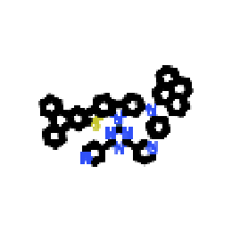 c1ccc(N(c2ccc3c4ccc5c6cc7c8ccccc8c8ccccc8c7cc6sc5c4n(-c4nc(-c5ccncc5)nc(-c5cccnc5)n4)c3c2)c2cc3cccc4ccc5cccc2c5c43)cc1